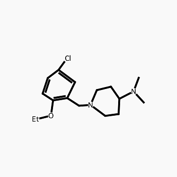 CCOc1ccc(Cl)cc1CN1CCC(N(C)C)CC1